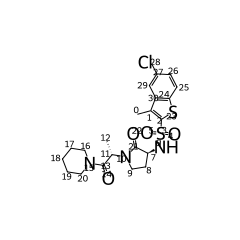 Cc1c(S(=O)(=O)N[C@H]2CCN([C@@H](C)C(=O)N3CCCCC3)C2=O)sc2ccc(Cl)cc12